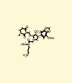 CCCCN(CCCN)C(=O)CN1C[C@H](c2cc(OC)c3c(c2)OCO3)[C@@H](C(=O)O)[C@@H]1CCN1C(=O)CCN(C)C1=O